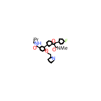 CNC(=O)c1c(-c2ccc(F)cc2)oc2ccc(-c3cc(C(=O)NCC(C)C)ccc3OCCc3ccccn3)cc12